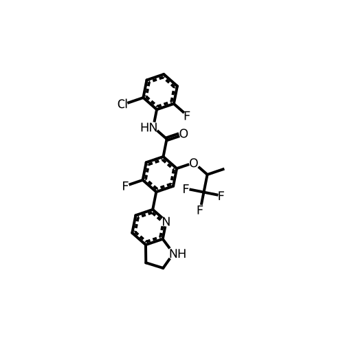 CC(Oc1cc(-c2ccc3c(n2)NCC3)c(F)cc1C(=O)Nc1c(F)cccc1Cl)C(F)(F)F